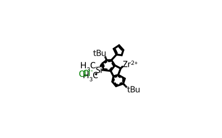 CC(C)(C)c1ccc2c(c1)[CH]([Zr+2])c1c(C3=CC=CC3)c(C(C)(C)C)c3c(c1-2)[Si]3(C)C.[Cl-].[Cl-]